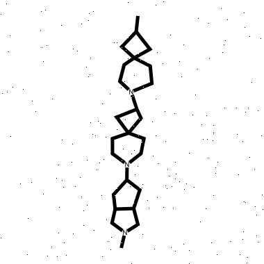 CC1CC2(CCN(C3CC4(CCN(C5CC6CN(C)CC6C5)CC4)C3)CC2)C1